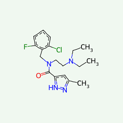 CCN(CC)CCN(Cc1c(F)cccc1Cl)C(=O)c1cc(C)n[nH]1